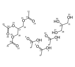 CC(=O)O.CC(=O)O.CC(=O)O.CC(=O)OCC(COC(C)=O)OC(C)=O.OCC(O)CO